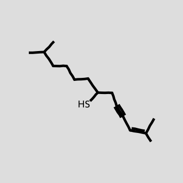 CC(C)=CC#CCC(S)CCCCC(C)C